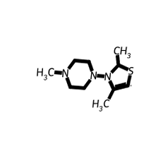 CC1=[C]SC(C)N1N1CCN(C)CC1